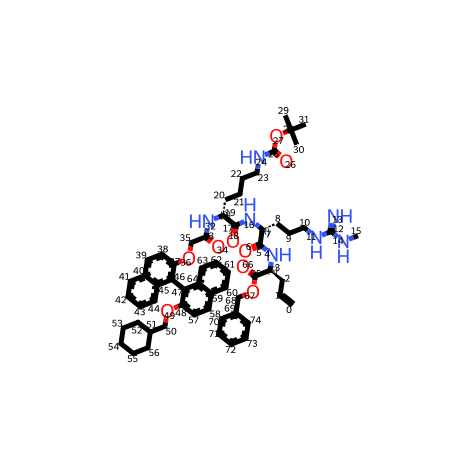 C=CC[C@H](NC(=O)[C@@H](CCCNC(=N)NC)NC(=O)[C@@H](CCCCNC(=O)OC(C)(C)C)NC(=O)COc1ccc2ccccc2c1-c1c(OCC2CCCCC2)ccc2ccccc12)C(=O)OCc1ccccc1